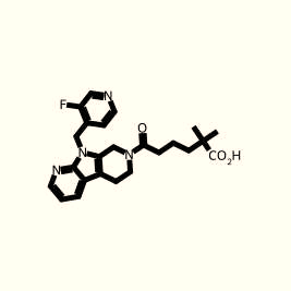 CC(C)(CCCC(=O)N1CCc2c(n(Cc3ccncc3F)c3ncccc23)C1)C(=O)O